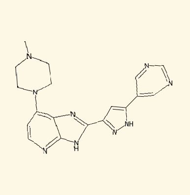 CN1CCN(c2ccnc3[nH]c(-c4cc(-c5cncnc5)[nH]n4)nc23)CC1